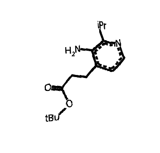 CC(C)c1nccc(CCC(=O)OC(C)(C)C)c1N